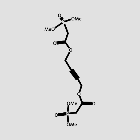 COP(=O)(CC(=O)OCC#CCOC(=O)CP(=O)(OC)OC)OC